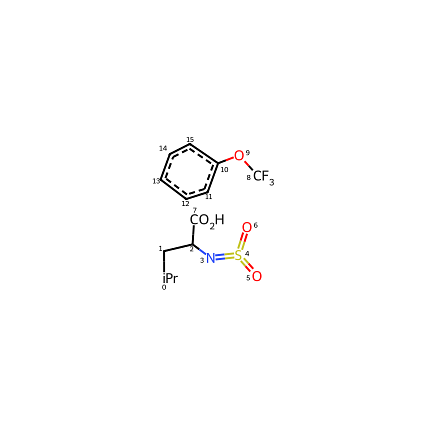 CC(C)CC(N=S(=O)=O)C(=O)O.FC(F)(F)Oc1ccccc1